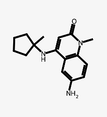 Cn1c(=O)cc(NC2(C)CCCC2)c2cc(N)ccc21